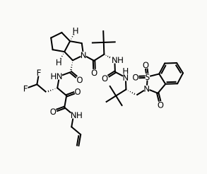 C=CCNC(=O)C(=O)[C@H](CC(F)F)NC(=O)[C@@H]1[C@H]2CCC[C@H]2CN1C(=O)[C@@H](NC(=O)N[C@H](CN1C(=O)c2ccccc2S1(=O)=O)C(C)(C)C)C(C)(C)C